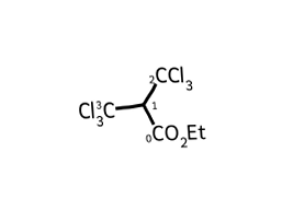 CCOC(=O)C(C(Cl)(Cl)Cl)C(Cl)(Cl)Cl